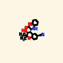 CC1(C)Oc2ccc(C#N)cc2[C@@H](C(Nc2ccccc2)C(=O)O)[C@@H]1O